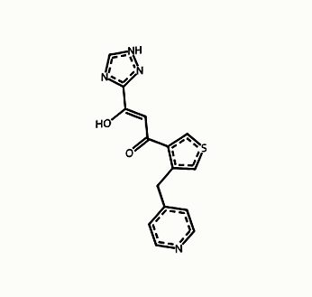 O=C(C=C(O)c1nc[nH]n1)c1cscc1Cc1ccncc1